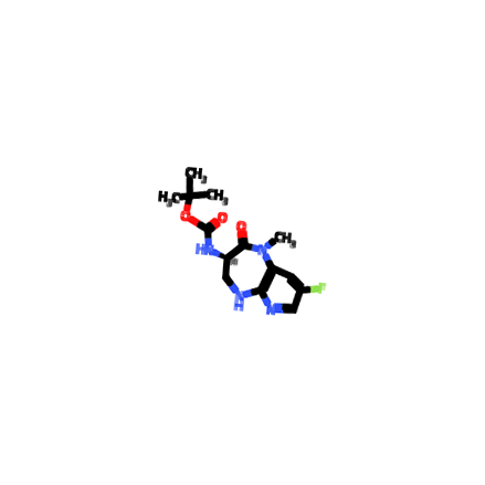 CN1C(=O)[C@H](NC(=O)OC(C)(C)C)CNc2ncc(F)cc21